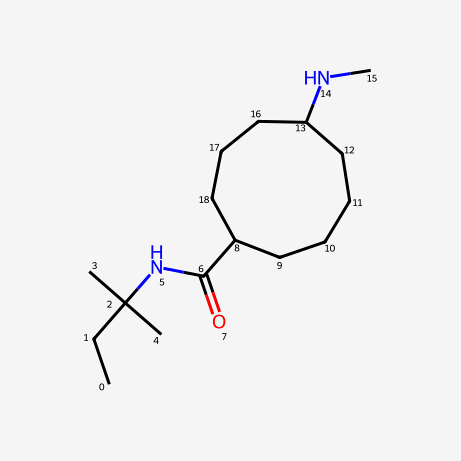 CCC(C)(C)NC(=O)C1CCCCC(NC)CCC1